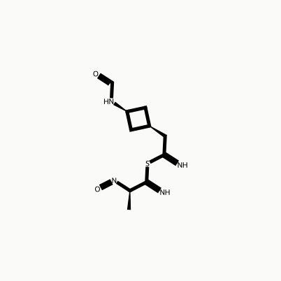 C[C@@H](N=O)C(=N)SC(=N)C[C@H]1C[C@@H](NC=O)C1